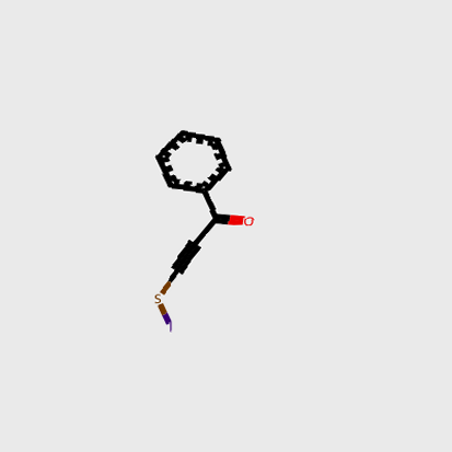 O=C(C#CSI)c1ccccc1